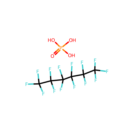 FC(F)(F)C(F)(F)C(F)(F)C(F)(F)C(F)(F)C(F)(F)F.O=P(O)(O)O